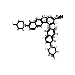 CC1CCN(c2ccc3cc4c(cc3c2)oc2cc(C#N)c3oc5cc6cc(N7CCC(C)CC7)ccc6cc5c3c24)CC1